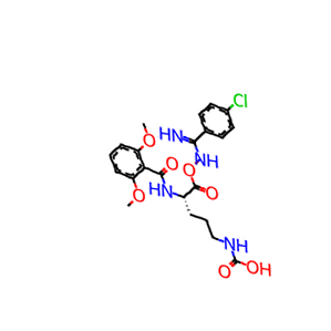 COc1cccc(OC)c1C(=O)N[C@@H](CCCNC(=O)O)C(=O)ONC(=N)c1ccc(Cl)cc1